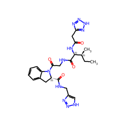 CC[C@H](C)[C@H](NC(=O)Cc1nn[nH]n1)C(=O)NCC(=O)N1c2ccccc2C[C@H]1C(=O)NCc1c[nH]nn1